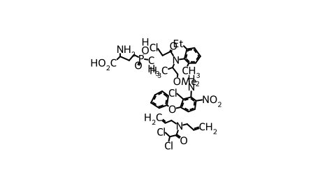 C=CCN(CC=C)C(=O)C(Cl)Cl.CCc1cccc(C)c1N(C(=O)CCl)C(C)COC.CP(=O)(O)CCC(N)C(=O)O.Nc1c([N+](=O)[O-])ccc(Oc2ccccc2)c1Cl